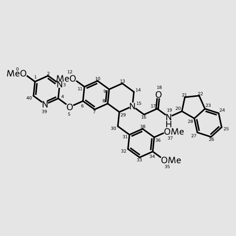 COc1cnc(Oc2cc3c(cc2OC)CCN(CC(=O)NC2CCc4ccccc42)C3Cc2ccc(OC)c(OC)c2)nc1